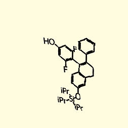 CC(C)[Si](Oc1ccc2c(c1)CCC(c1ccccc1)=C2c1c(F)cc(O)cc1F)(C(C)C)C(C)C